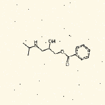 CC(C)NCC(O)COC(=O)c1ccccc1